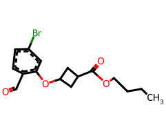 CCCCOC(=O)C1CC(Oc2cc(Br)ccc2C=O)C1